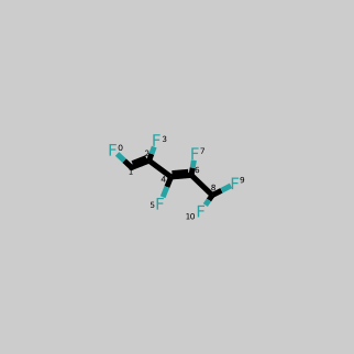 FC=C(F)C(F)=C(F)C(F)F